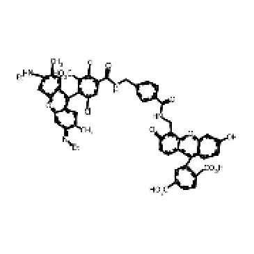 CC/N=c1/cc2oc3cc(NCC)c(C)cc3c(-c3c(Cl)cc(C(=O)NCc4ccc(C(=O)NCc5c6oc7cc(O)ccc7c(-c7cc(C(=O)O)ccc7C(=O)O)c-6ccc5=O)cc4)c(Cl)c3C(=O)O)c-2cc1C